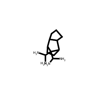 NC(N)C1(C(N)N)C2CCC1C1CCCC12